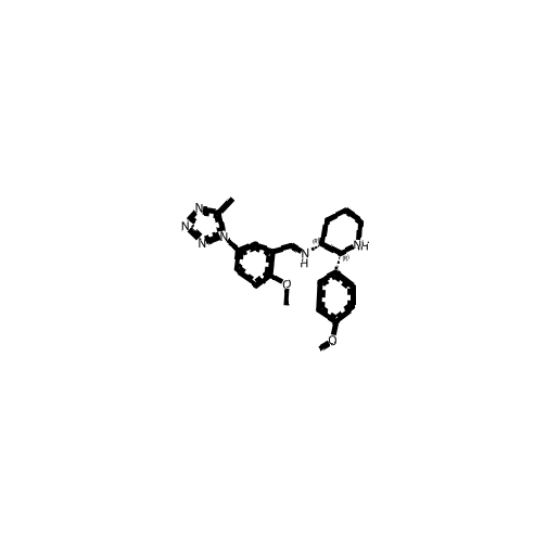 COc1ccc([C@H]2NCCC[C@H]2NCc2cc(-n3nnnc3C)ccc2OC)cc1